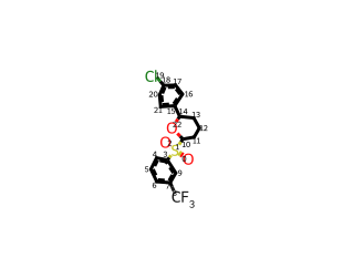 O=S(=O)(c1cccc(C(F)(F)F)c1)C1CCCC(c2ccc(Cl)cc2)O1